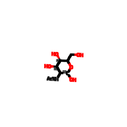 [13CH3][13C](=O)[15NH]C1[C@@H](O)[C@H](O)C(CO)O[13CH]1O